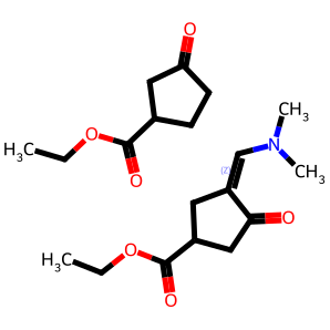 CCOC(=O)C1CC(=O)/C(=C\N(C)C)C1.CCOC(=O)C1CCC(=O)C1